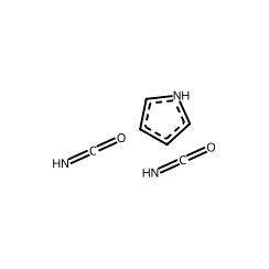 N=C=O.N=C=O.c1cc[nH]c1